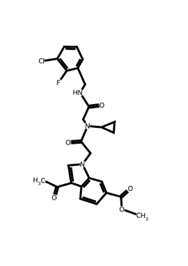 COC(=O)c1ccc2c(C(C)=O)cn(CC(=O)N(CC(=O)NCc3cccc(Cl)c3F)C3CC3)c2c1